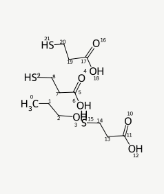 CCCO.O=C(O)CCS.O=C(O)CCS.O=C(O)CCS